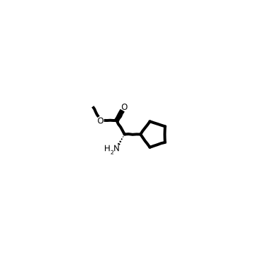 COC(=O)[C@@H](N)C1CCCC1